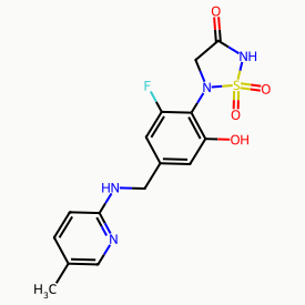 Cc1ccc(NCc2cc(O)c(N3CC(=O)NS3(=O)=O)c(F)c2)nc1